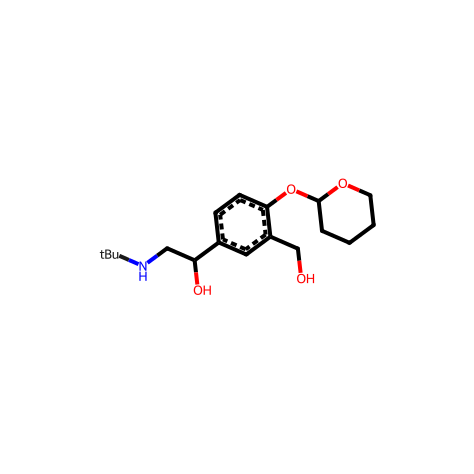 CC(C)(C)NCC(O)c1ccc(OC2CCCCO2)c(CO)c1